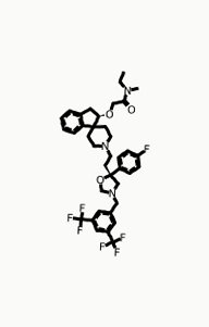 CCN(C)C(=O)CO[C@H]1Cc2ccccc2C12CCN(CC[C@@]1(c3ccc(F)cc3)CN(Cc3cc(C(F)(F)F)cc(C(F)(F)F)c3)CO1)CC2